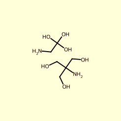 NC(CO)(CO)CO.NCC(O)(O)O